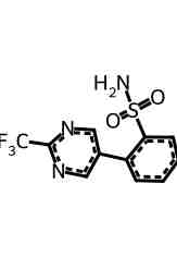 NS(=O)(=O)c1ccccc1-c1cnc(C(F)(F)F)nc1